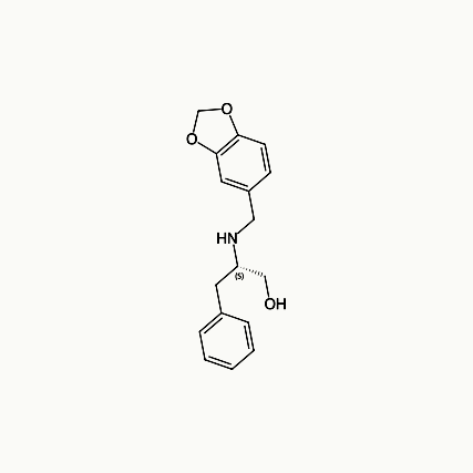 OC[C@H](Cc1ccccc1)NCc1ccc2c(c1)OCO2